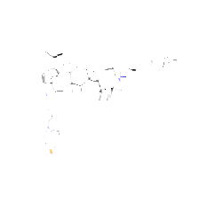 C=C(C)[C@@H]1CC[C@]2(CNCCCN3CCS(=O)(=O)CC3)CC[C@]3(C)[C@H](CC[C@@H]4[C@@]5(C)CCN(C/C=C/C(=O)OCC)C(C)(C)[C@@H]5CC[C@]43C)[C@@H]12